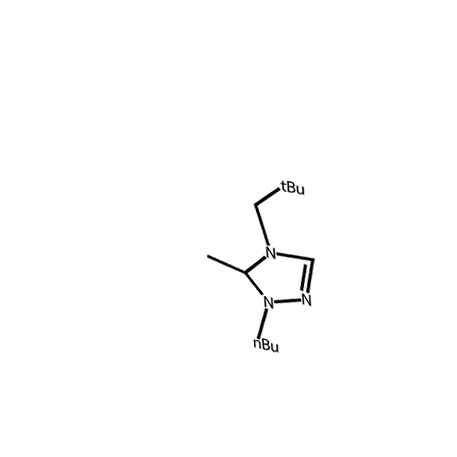 CCCCN1N=CN(CC(C)(C)C)C1C